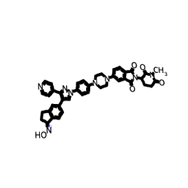 CN1C(=O)CCC(N2C(=O)c3ccc(N4CCN(c5ccc(-n6cc(-c7ccc8c(c7)CC/C8=N\O)c(-c7ccncc7)n6)cc5)CC4)cc3C2=O)C1=O